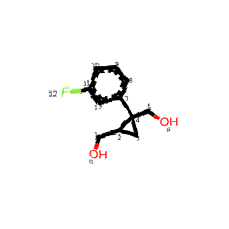 OCC1CC1(CO)c1cccc(F)c1